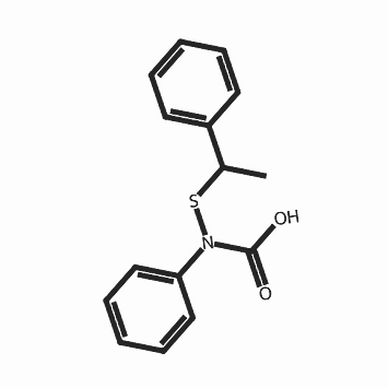 CC(SN(C(=O)O)c1ccccc1)c1ccccc1